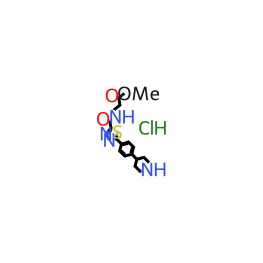 COC(=O)CCNC(=O)c1nnc(-c2ccc(C3CCNCC3)cc2)s1.Cl